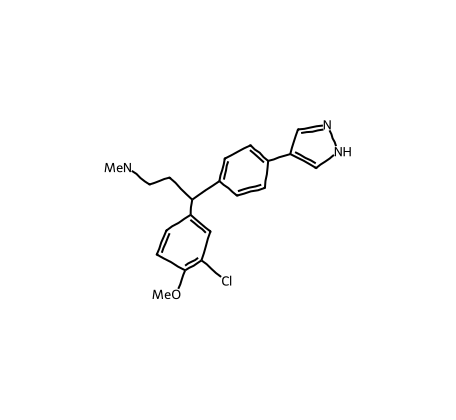 CNCCC(c1ccc(-c2cn[nH]c2)cc1)c1ccc(OC)c(Cl)c1